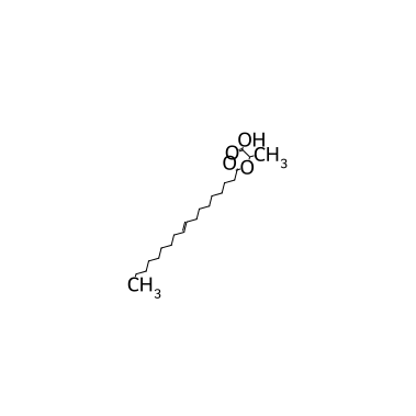 CCCCCCCCC=CCCCCCCCC(=O)OC(C)C(=O)O